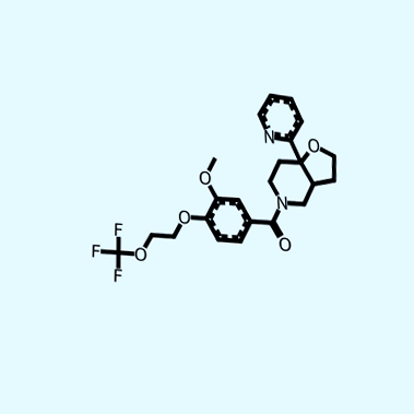 COc1cc(C(=O)N2CCC3(c4ccccn4)OCCC3C2)ccc1OCCOC(F)(F)F